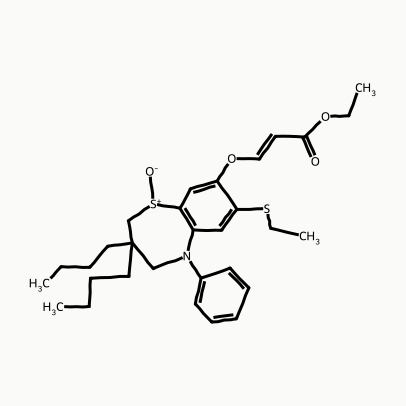 CCCCC1(CCCC)CN(c2ccccc2)c2cc(SCC)c(O/C=C/C(=O)OCC)cc2[S+]([O-])C1